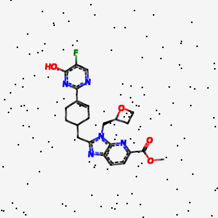 COC(=O)c1ccc2nc(CC3CC=C(c4ncc(F)c(O)n4)CC3)n(C[C@@H]3CCO3)c2n1